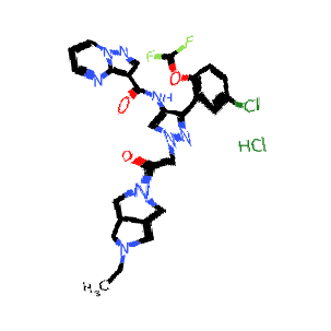 CCN1CC2CN(C(=O)Cn3cc(NC(=O)c4cnn5cccnc45)c(-c4cc(Cl)ccc4OC(F)F)n3)CC2C1.Cl